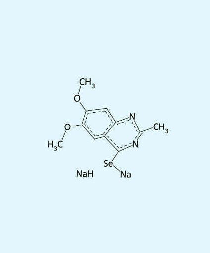 COc1cc2nc(C)nc([Se][Na])c2cc1OC.[NaH]